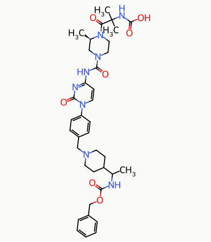 CC(NC(=O)OCc1ccccc1)C1CCN(Cc2ccc(-n3ccc(NC(=O)N4CCN(C(=O)C(C)(C)NC(=O)O)[C@H](C)C4)nc3=O)cc2)CC1